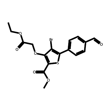 CCOC(=O)COc1c(C(=O)OC)sc(-c2ccc(C=O)cc2)c1Br